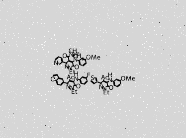 CCn1nc(-c2ccc3occc3c2)c(C(C)=O)c(Nc2cccc(F)c2)c1=O.CCn1nc(-c2cccnc2)c(C(=O)N(C)C)c(Nc2cccc(OC)c2)c1=O.CCn1nc(-c2ccsc2)c(C(C)=O)c(Nc2cccc(OC)c2)c1=O